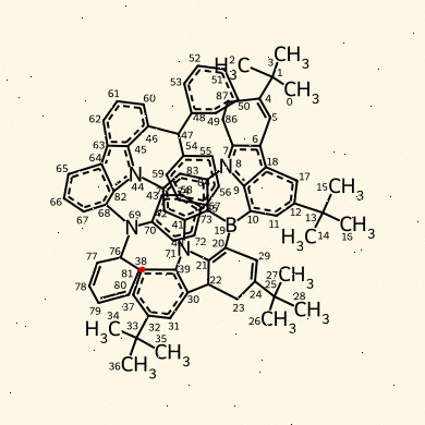 CC(C)(C)C1=Cc2c(n3c4c(cc(C(C)(C)C)cc24)B2C4=C5C(CC(C(C)(C)C)=C4)c4cc(C(C)(C)C)ccc4N5c4cc(-n5c6c(C(c7ccccc7)c7ccccc7)cccc6c6cccc(N(c7ccccc7)C7C=CC=CC7)c65)cc-3c42)CC1